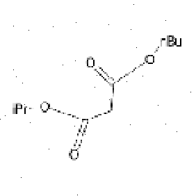 CCCCOC(=O)CC(=O)OC(C)C